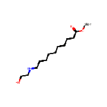 CCCCCCCCCOC(=O)CCCCCCCCCNCCO